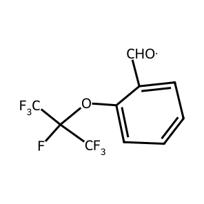 O=[C]c1ccccc1OC(F)(C(F)(F)F)C(F)(F)F